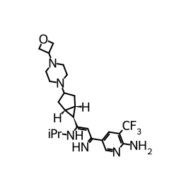 CC(C)N/C(=C\C(=N)c1cnc(N)c(C(F)(F)F)c1)[C@H]1[C@@H]2CC(N3CCN(C4COC4)CC3)C[C@@H]21